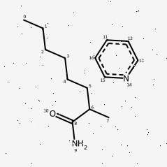 CCCCCCC(C)C(N)=O.c1ccncc1